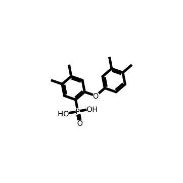 Cc1ccc(Oc2cc(C)c(C)cc2P(=O)(O)O)cc1C